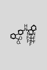 COC(=O)c1ccccc1-c1ccc(Nc2nc(C(F)(F)C(F)(F)F)nc3ccccc23)cc1